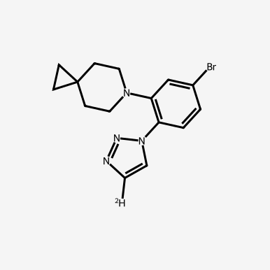 [2H]c1cn(-c2ccc(Br)cc2N2CCC3(CC2)CC3)nn1